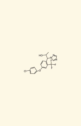 CC(O)C(c1ccc(Oc2ccc(Cl)cc2)cc1C(F)(F)F)n1cncn1